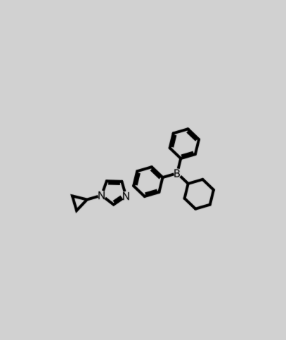 c1ccc(B(c2ccccc2)C2CCCCC2)cc1.c1cn(C2CC2)cn1